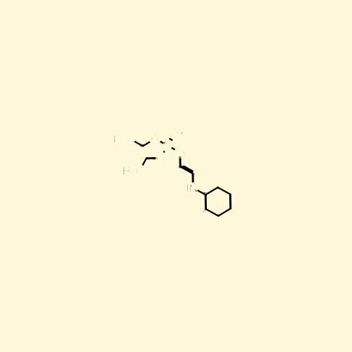 CCOP(=O)(OC=CNC1CCCCC1)OCC